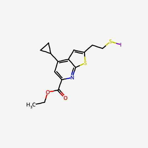 CCOC(=O)c1cc(C2CC2)c2cc(CCSI)sc2n1